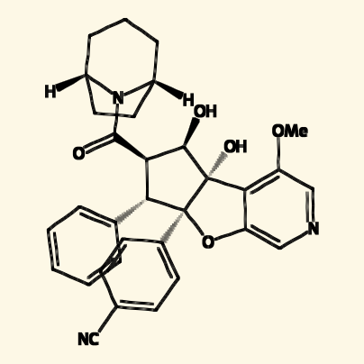 COc1cncc2c1[C@]1(O)[C@H](O)[C@H](C(=O)N3[C@@H]4CCC[C@H]3CC4)[C@@H](c3ccccc3)[C@]1(c1ccc(C#N)cc1)O2